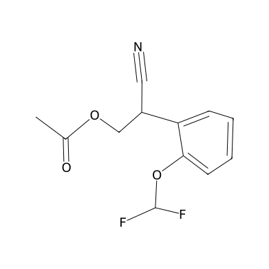 CC(=O)OCC(C#N)c1ccccc1OC(F)F